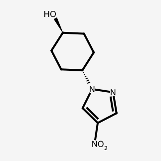 O=[N+]([O-])c1cnn([C@H]2CC[C@H](O)CC2)c1